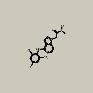 CCN(C)C(=O)Cn1ccc2c(Nc3c(Cl)cc(F)cc3C(F)(F)F)nccc21